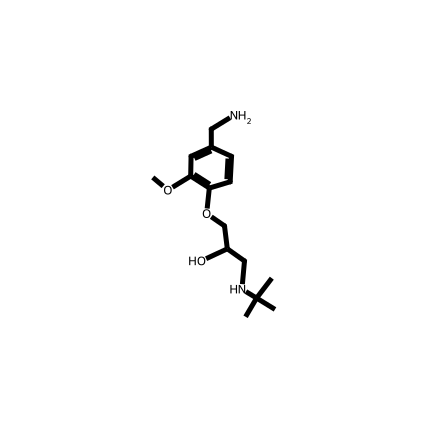 COc1cc(CN)ccc1OCC(O)CNC(C)(C)C